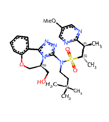 COc1cnc([C@@H](C)[C@H](C)S(=O)(=O)N(CC[Si](C)(C)C)c2nnc3n2[C@@H](CO)COc2ccccc2-3)nc1